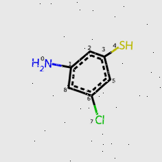 Nc1cc(S)cc(Cl)c1